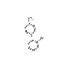 O=[N+]([O-])c1ccc(-c2cc[c]cc2Br)cc1